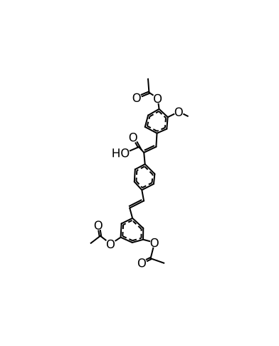 COc1cc(C=C(C(=O)O)c2ccc(C=Cc3cc(OC(C)=O)cc(OC(C)=O)c3)cc2)ccc1OC(C)=O